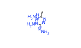 C=C(/N=N\C(=N/N)NN)NN